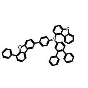 c1ccc(-c2ccc(N(c3ccc(-c4ccc5oc6c(-c7ccccc7)cccc6c5c4)cc3)c3cccc4sc5ccccc5c34)cc2-c2ccccc2)cc1